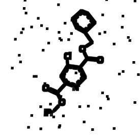 CC(C)OC(=O)c1cc(Cl)c(C(=O)OCc2ccccc2)cn1